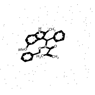 C=C(C)C(=O)N(OCc1ccccc1)C(c1ccccc1)c1c(C)[nH]c2ccc(OC)cc12